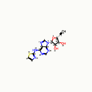 C#C[C@H]1O[C@@H](n2cnc3c(Nc4nccs4)ncnc32)[C@H](O)[C@@H]1O